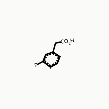 O=C(O)Cc1cc[c]c(F)c1